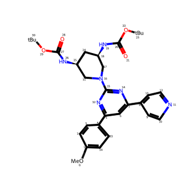 COc1ccc(-c2cc(-c3ccncc3)nc(N3C[C@H](NC(=O)OC(C)(C)C)C[C@H](NC(=O)OC(C)(C)C)C3)n2)cc1